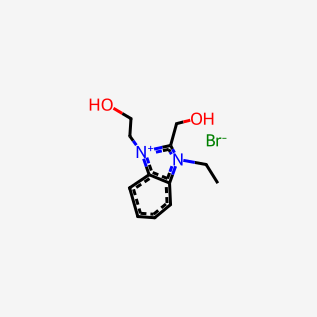 CCn1c(CO)[n+](CCO)c2ccccc21.[Br-]